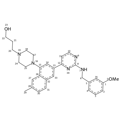 COc1cccc(CNc2nccc(-c3cc(N4CCN(CCCO)CC4)c4cc(C)ccc4c3)n2)c1